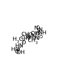 Cc1c(-c2ccc(N3CCc4cccc(C(=O)Nc5nc6cccnc6s5)c4C3)nc2C(=O)O)cnn1CC12CC3(C)CC(C)(C1)CC(OCCNCCCP(=O)(O)O)(C3)C2